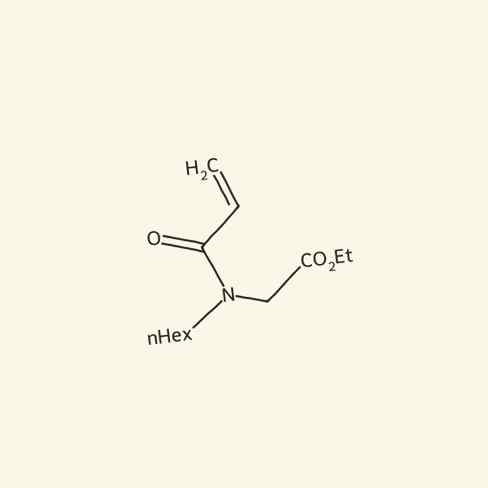 C=CC(=O)N(CCCCCC)CC(=O)OCC